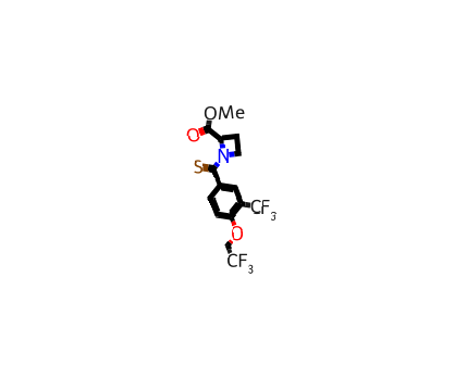 COC(=O)C1CCN1C(=S)c1ccc(OCC(F)(F)F)c(C(F)(F)F)c1